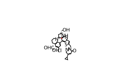 O=CO.O=c1cc(C2CC2)cnn1Cc1cc2nccc(-c3cc(Cl)cc4c3N([C@@H]3CN[C@@H](CO)C3)CCC4)c2s1